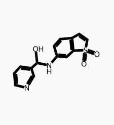 O=S1(=O)C=Cc2ccc(NC(O)c3cccnc3)cc21